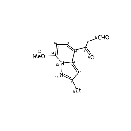 CCc1cc2c(C(=O)CC=O)ccc(OC)n2n1